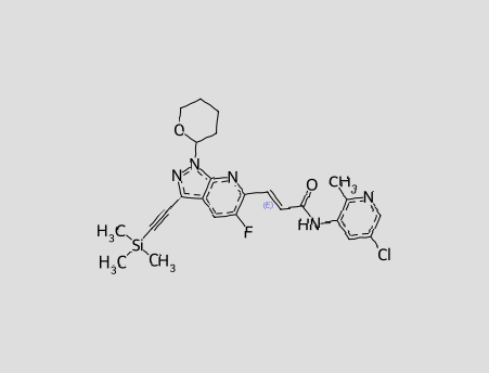 Cc1ncc(Cl)cc1NC(=O)/C=C/c1nc2c(cc1F)c(C#C[Si](C)(C)C)nn2C1CCCCO1